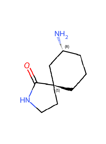 N[C@@H]1CCC[C@]2(CCNC2=O)C1